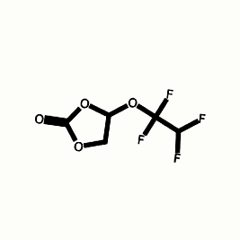 O=C1OCC(OC(F)(F)C(F)F)O1